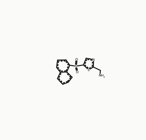 NCc1ncc(S(=O)(=O)c2cccc3ccccc23)s1